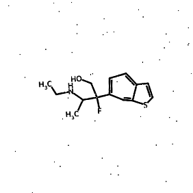 CCNC(C)C(F)(CO)c1ccc2ccsc2c1